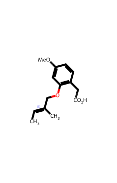 C/C=C(\C)COc1cc(OC)ccc1CC(=O)O